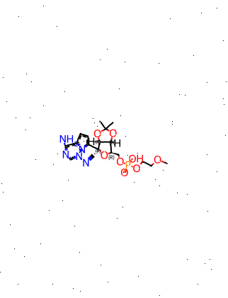 COCCOP(=O)(O)OC[C@H]1O[C@@](C#N)(c2ccc3c(N)ncnn23)[C@@H]2OC(C)(C)O[C@@H]21